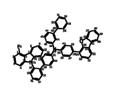 Fc1cccc2c1c1ccccc1n2-c1ccccc1-c1ccc(N(c2ccc(-c3cccc4c3oc3ccccc34)cc2)c2cccc(-c3ccccc3)c2)cc1